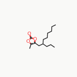 CCCCCCC(CCC)Cc1oc(=O)oc1C